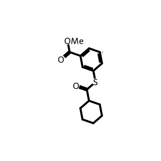 COC(=O)c1c[c]cc(SC(=O)C2CCCCC2)c1